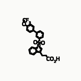 O=C(O)CCc1cn(S(=O)(=O)c2cccc(-c3ccc(OC(F)(F)F)cc3)c2)c2ccccc12